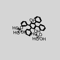 O=P(O)(O)O.O=P(O)(O)O.Oc1c(-c2ccccc2)c(-c2ccccc2)c(O)c(-c2ccccc2)c1-c1ccccc1